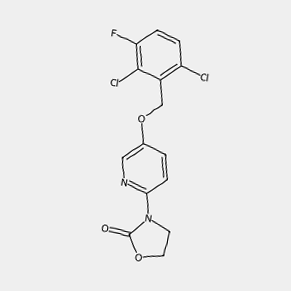 O=C1OCCN1c1ccc(OCc2c(Cl)ccc(F)c2Cl)cn1